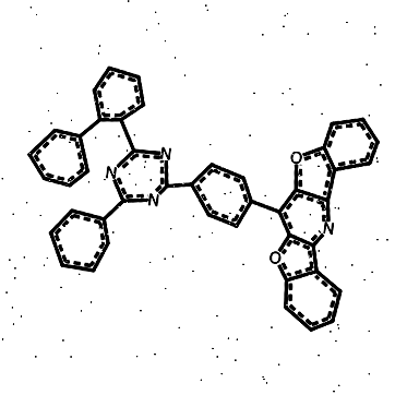 c1ccc(-c2nc(-c3ccc(-c4c5oc6ccccc6c5nc5c4oc4ccccc45)cc3)nc(-c3ccccc3-c3ccccc3)n2)cc1